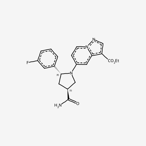 CCOC(=O)c1cnn2ccc(N3C[C@@H](C(N)=O)C[C@@H]3c3cccc(F)c3)cc12